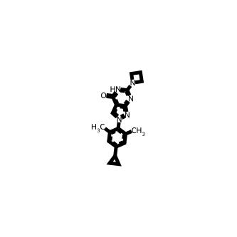 Cc1cc(C2CC2)cc(C)c1-n1cc2c(=O)[nH]c(N3CCC3)nc2n1